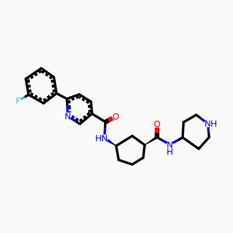 O=C(N[C@@H]1CCC[C@H](C(=O)NC2CCNCC2)C1)c1ccc(-c2cccc(F)c2)nc1